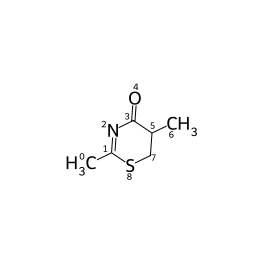 CC1=NC(=O)C(C)CS1